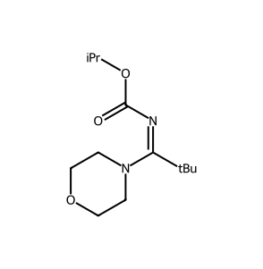 CC(C)OC(=O)/N=C(\N1CCOCC1)C(C)(C)C